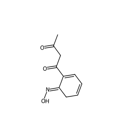 CC(=O)CC(=O)C1=CC=CCC1=NO